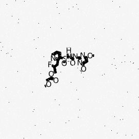 COCC(=O)OCC(F)Cc1ncccc1[S+]([O-])NC(=O)Nc1nc(OC)cc(OC)n1